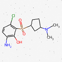 CN(C)C1CCC(S(=O)(=O)c2c(Cl)ccc(N)c2O)C1